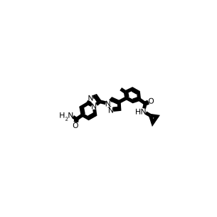 Cc1ccc(C(=O)NC2CC2)cc1-c1cnn(-c2cnc3cc(C(N)=O)ccn23)c1